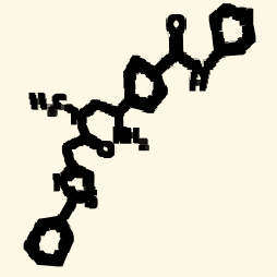 CN(CC(N)c1ccc(C(=O)Nc2ccncc2)cc1)C(=O)Cc1csc(-c2ccccc2)n1